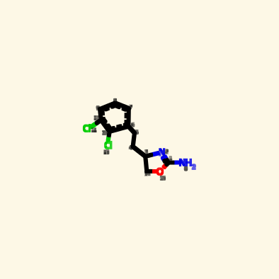 NC1=NC(CCc2cccc(Cl)c2Cl)CO1